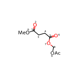 COC(=O)CCC(=O)OCOC(C)=O